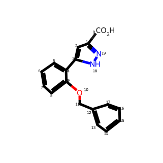 O=C(O)c1cc(-c2ccccc2OCc2ccccc2)[nH]n1